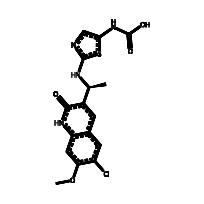 COc1cc2[nH]c(=O)c([C@H](C)Nc3ncc(NC(=O)O)s3)cc2cc1Cl